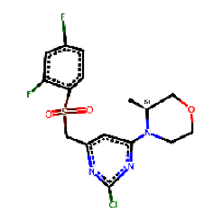 C[C@H]1COCCN1c1cc(CS(=O)(=O)c2ccc(F)cc2F)nc(Cl)n1